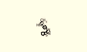 CC1CNC(N2CCN(c3ncnc4sc5c(c34)CCCC5)CC2)S1